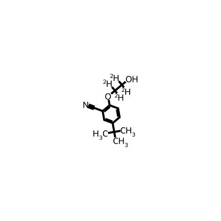 [2H]C([2H])(O)C([2H])([2H])Oc1ccc(C(C)(C)C)cc1C#N